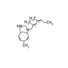 CC/C=C(C)\C=C(/C)CN1CNCC2C=CC(C)/C=C\C1C2